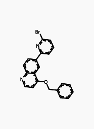 Brc1cccc(-c2ccc3nccc(OCc4ccccc4)c3c2)n1